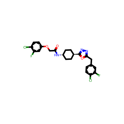 O=C(COc1ccc(Cl)c(F)c1)N[C@H]1CC[C@H](c2nnc(Cc3ccc(Cl)c(F)c3)o2)CC1